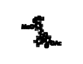 CCCCOc1ccc(CCO[C@@H]2CCCC[C@H]2N2C(=O)C[C@@H](OC(C)=O)C2=O)cc1OC